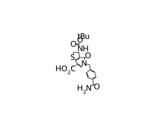 CC(C)(C)OC(=O)N[C@H]1CSc2c(C(=O)O)cn(Cc3ccc(C(N)=O)cc3)c(=O)c21